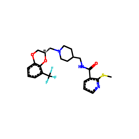 CSc1ncccc1C(=O)NCC1CCN(C[C@H]2COc3cccc(C(F)(F)F)c3O2)CC1